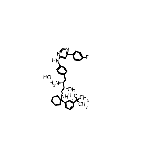 CC(C)(C)c1cccc(C2(NC[C@@H](O)[C@@H](N)Cc3ccc(Nc4cc(-c5ccc(F)cc5)ncn4)cc3)CCCCC2)c1.Cl